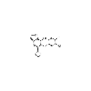 Oc1c(Cc2ccc(Cl)c(Cl)c2)c(C2CCC2)nc2ccnn12